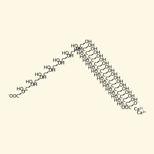 O=C(O)O.O=C(O)O.O=C(O)O.O=C(O)O.O=C(O)O.O=C(O)O.O=C(O)O.O=C(O)O.O=C(O)O.O=C(O)O.O=C(O)O.O=C(O)O.O=C(O)O.O=C(O)O.O=C(O)O.O=C(O)O.O=C(O)O.O=C(O)O.O=C(O)O.O=C(O)O.O=C(O)O.O=C(O)O.O=C(O)O.O=C([O-])[O-].O=C([O-])[O-].[Ca+2].[Ca+2]